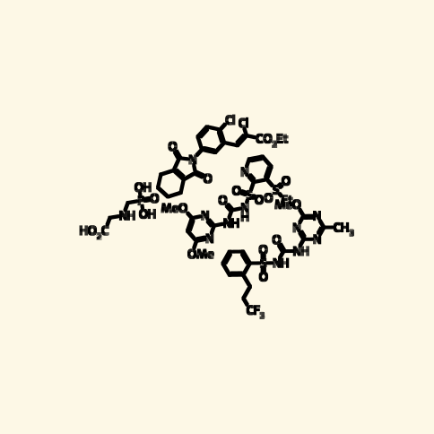 CCOC(=O)/C(Cl)=C/c1cc(N2C(=O)C3=C(CCCC3)C2=O)ccc1Cl.CCS(=O)(=O)c1cccnc1S(=O)(=O)NC(=O)Nc1nc(OC)cc(OC)n1.COc1nc(C)nc(NC(=O)NS(=O)(=O)c2ccccc2CCC(F)(F)F)n1.O=C(O)CNCP(=O)(O)O